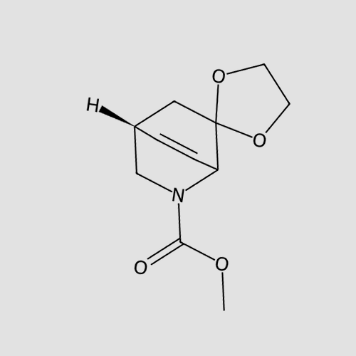 COC(=O)N1C[C@H]2C=CC1C1(C2)OCCO1